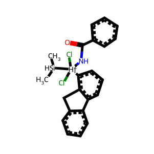 C[SiH](C)[Hf]([Cl])([Cl])([NH]C(=O)c1ccccc1)[c]1cccc2c1Cc1ccccc1-2